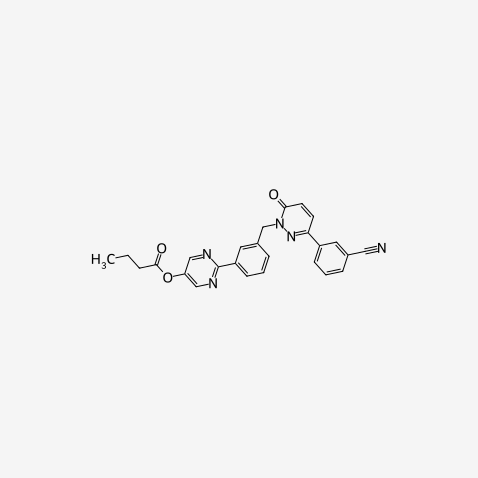 CCCC(=O)Oc1cnc(-c2cccc(Cn3nc(-c4cccc(C#N)c4)ccc3=O)c2)nc1